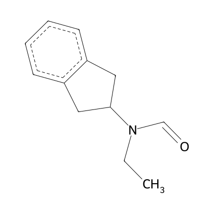 CCN(C=O)C1Cc2ccccc2C1